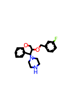 Fc1cccc(COC2COc3ccccc3C2N2CCNCC2)c1